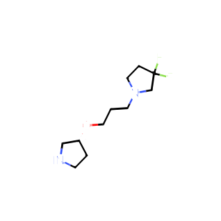 FC1(F)CCN(CCCO[C@@H]2CCNC2)C1